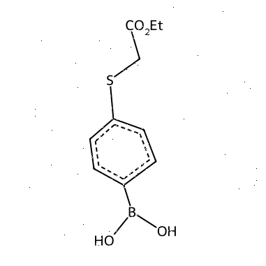 CCOC(=O)CSc1ccc(B(O)O)cc1